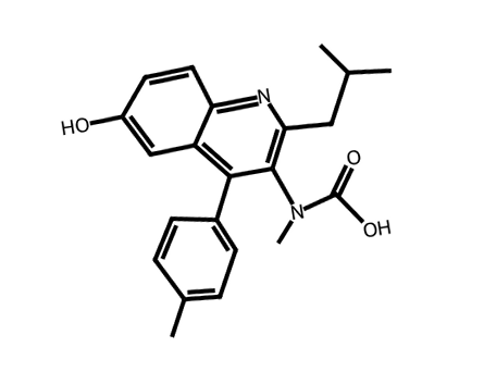 Cc1ccc(-c2c(N(C)C(=O)O)c(CC(C)C)nc3ccc(O)cc23)cc1